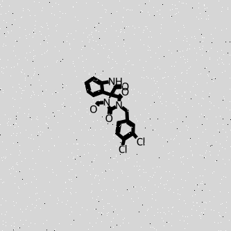 O=CN1C(=O)N(Cc2ccc(Cl)c(Cl)c2)C(=O)[C@@]12C(=O)Nc1ccccc12